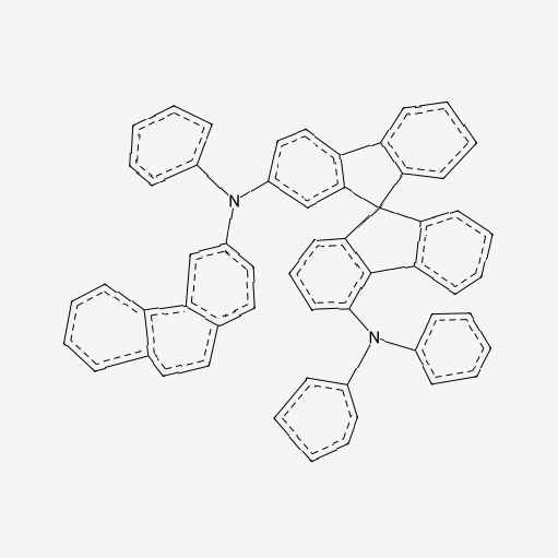 c1ccc(N(c2ccc3c(c2)C2(c4ccccc4-3)c3ccccc3-c3c(N(c4ccccc4)c4ccccc4)cccc32)c2ccc3ccc4ccccc4c3c2)cc1